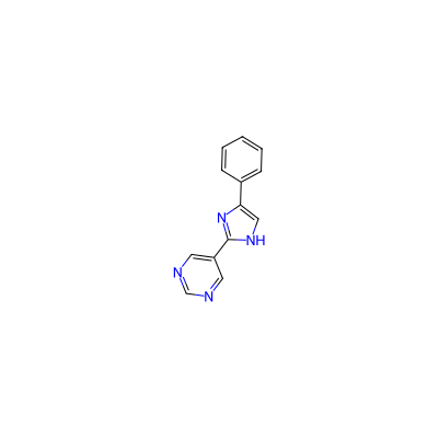 c1ccc(-c2c[nH]c(-c3cncnc3)n2)cc1